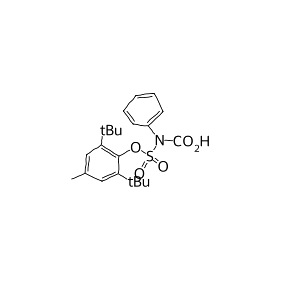 Cc1cc(C(C)(C)C)c(OS(=O)(=O)N(C(=O)O)c2ccccc2)c(C(C)(C)C)c1